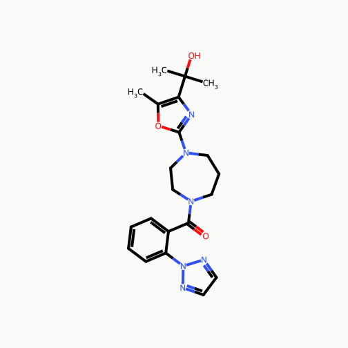 Cc1oc(N2CCCN(C(=O)c3ccccc3-n3nccn3)CC2)nc1C(C)(C)O